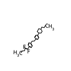 CCCCC1CCC(c2ccc(CCc3ccc(C(F)=C(F)CCC)cc3)cc2)CC1